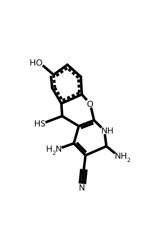 N#CC1=C(N)C2=C(NC1N)Oc1ccc(O)cc1C2S